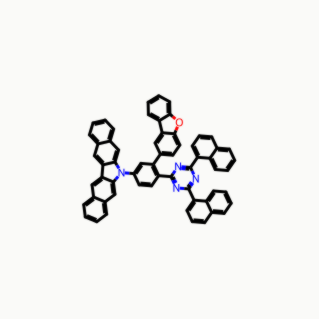 c1ccc2cc3c(cc2c1)c1cc2ccccc2cc1n3-c1ccc(-c2nc(-c3cccc4ccccc34)nc(-c3cccc4ccccc34)n2)c(-c2ccc3oc4ccccc4c3c2)c1